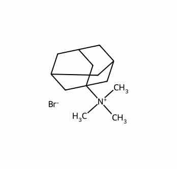 C[N+](C)(C)C12CC3CC(CC(C3)C1)C2.[Br-]